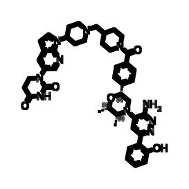 C[C@@H]1O[C@H](c2ccc(C(=O)N3CCC(CN4CCC(n5ccc6cc(N7CCC(=O)NC7=O)cnc65)CC4)CC3)cc2)CN(c2cc(-c3ccccc3O)nnc2N)[C@@H]1C